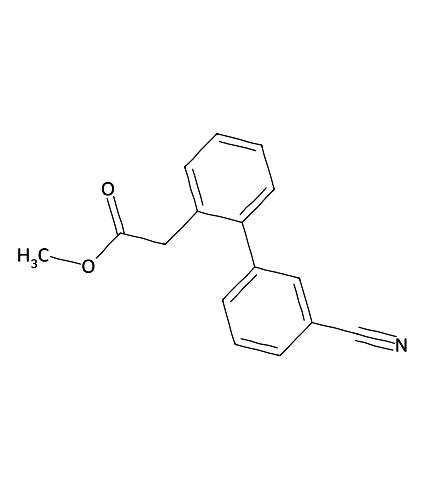 COC(=O)Cc1ccccc1-c1cccc(C#N)c1